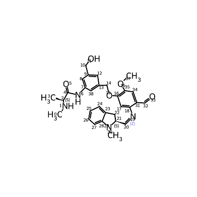 CN[C@@H](C)C(=O)Nc1cc(CO)cc(COc2cc(/N=C\[C@@H]3Cc4ccccc4N3C)c(C=O)cc2OC)c1